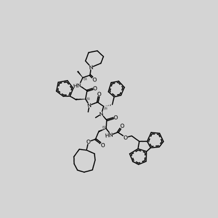 C[C@H](NC(=O)[C@H](Cc1ccccc1)N(C)C(=O)[C@H](Cc1ccccc1)N(C)C(=O)[C@H](CC(=O)OC1CCCCCCCC1)NC(=O)OCC1c2ccccc2-c2ccccc21)C(=O)N1CCCCC1